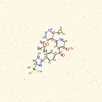 [2H]C([2H])([2H])Oc1ncnc(C2CC2)c1-c1cc(C(=O)c2ccc(-c3nc(C(F)(F)F)cn3C)cc2)c(OC)cn1